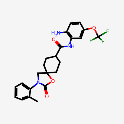 Cc1ccccc1N1CC2(CCC(C(=O)Nc3cc(OC(F)(F)F)ccc3N)CC2)OC1=O